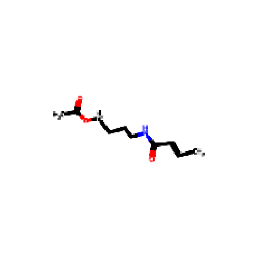 CC=CC(=O)NCCC[SiH2]OC(C)=O